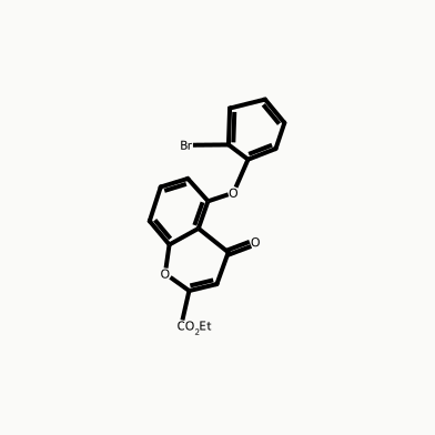 CCOC(=O)c1cc(=O)c2c(Oc3ccccc3Br)cccc2o1